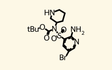 CC(C)(C)OC(=O)N(C1CCCNC1)S(=O)(=O)c1cc(Br)cnc1N